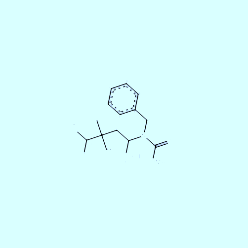 COC(=O)N(Cc1ccccc1)C(CC(C)(C)C(F)F)C(=O)O